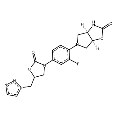 O=C1N[C@@H]2CN(c3ccc(N4CC(Cn5ccnn5)OC4=O)cc3F)C[C@@H]2O1